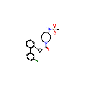 CS(=O)(=O)N[C@H]1CCCN(C(=O)[C@@H]2C[C@H]2c2ccccc2-c2cccc(F)c2)CC1